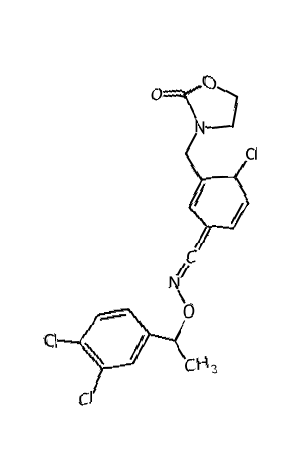 CC(ON=C=C1C=CC(Cl)C(CN2CCOC2=O)=C1)c1ccc(Cl)c(Cl)c1